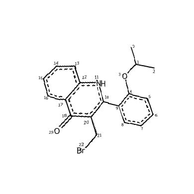 CC(C)Oc1ccccc1-c1[nH]c2ccccc2c(=O)c1CBr